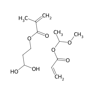 C=C(C)C(=O)OCCC(O)O.C=CC(=O)OC(C)OC